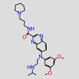 COc1cc(OC)cc(N(CCNC(C)C)c2ccc3ncc(C(=O)NCCCN4CCCCC4)nc3c2)c1